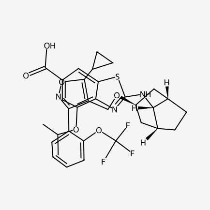 CC(C)Oc1cc(C(=O)O)cc2sc(N[C@H]3[C@@H]4CC[C@H]3C[C@H](OCc3c(-c5ccccc5OC(F)(F)F)noc3C3CC3)C4)nc12